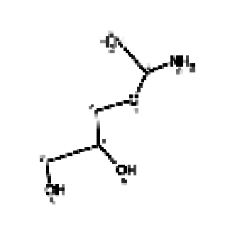 NC(N)OCC(O)CO